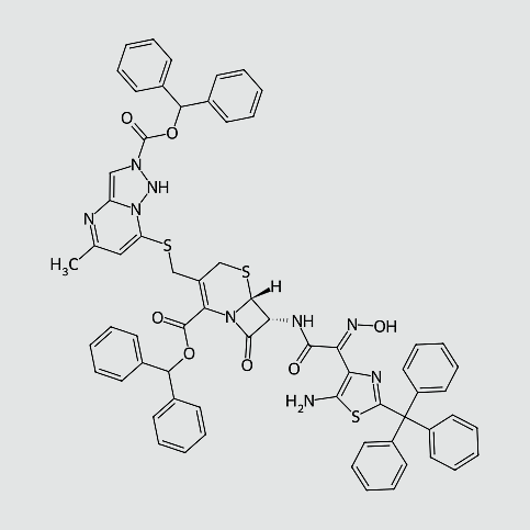 CC1=NC2=CN(C(=O)OC(c3ccccc3)c3ccccc3)NN2C(SCC2=C(C(=O)OC(c3ccccc3)c3ccccc3)N3C(=O)[C@@H](NC(=O)C(=NO)c4nc(C(c5ccccc5)(c5ccccc5)c5ccccc5)sc4N)[C@H]3SC2)=C1